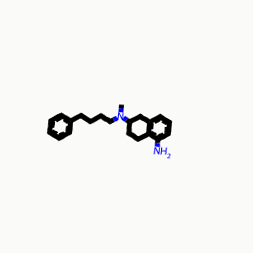 CN(CCCCc1ccccc1)C1CCc2c(N)cccc2C1